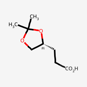 CC1(C)OC[C@@H](CCC(=O)O)O1